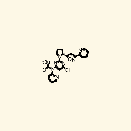 CC(C)(C)C(=O)N(c1ccccn1)c1cc(Cl)nc(N2CCC[C@H]2c2cc(-c3ccccn3)no2)n1